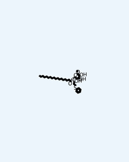 CCCCCCCCCCCCCCCCCC(=O)N(CCCSc1ccccc1)C[C@H]1O[C@H](OC)[C@H](O)[C@@H](O)[C@@H]1O